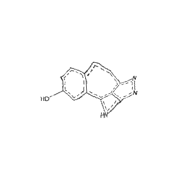 Oc1ccc2ccc3nnc4[nH]c(c2c1)c34